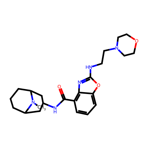 CN1C2CCCC1CC(NC(=O)c1cccc3oc(NCCN4CCOCC4)nc13)C2